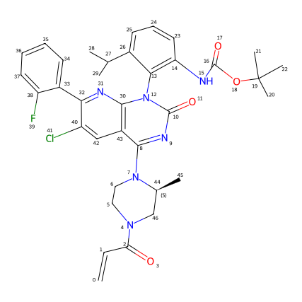 C=CC(=O)N1CCN(c2nc(=O)n(-c3c(NC(=O)OC(C)(C)C)cccc3C(C)C)c3nc(-c4ccccc4F)c(Cl)cc23)[C@@H](C)C1